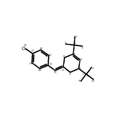 CC(C)(C)C1=CC(C(C)(C)C)CC(=Cc2ccc(Cl)cc2)C1